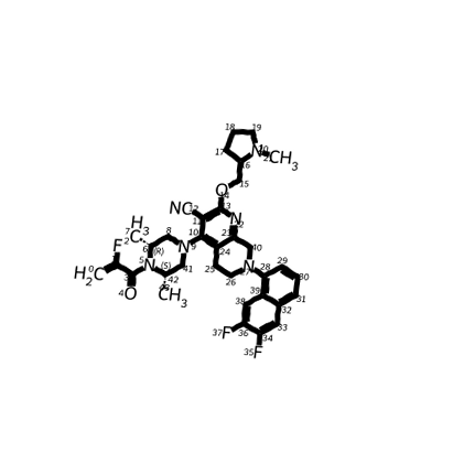 C=C(F)C(=O)N1[C@H](C)CN(c2c(C#N)c(OCC3CCCN3C)nc3c2CCN(c2cccc4cc(F)c(F)cc24)C3)C[C@@H]1C